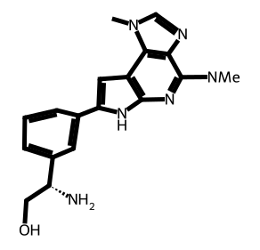 CNc1nc2[nH]c(-c3cccc([C@H](N)CO)c3)cc2c2c1ncn2C